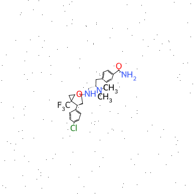 CN(C)[C@H](CNC(=O)C[C@@H](c1ccc(Cl)cc1)C1(C(F)(F)F)CC1)Cc1ccc(C(N)=O)cc1